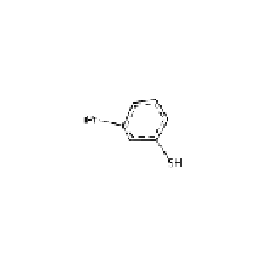 CC(C)c1cccc(S)c1